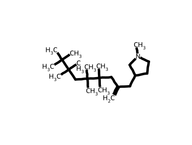 C=C(CC1CCN(C)C1)CC(C)(C)C(C)(C)CC(C)(C)C(C)(C)C